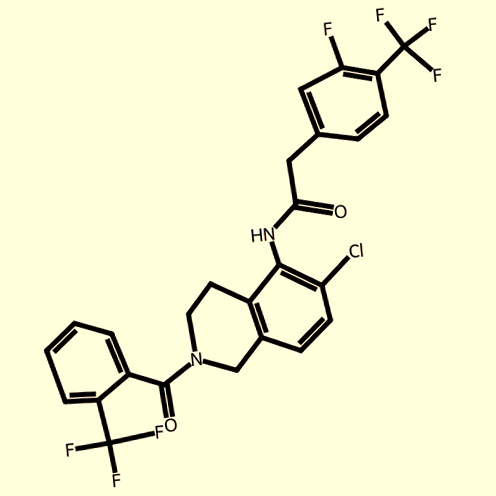 O=C(Cc1ccc(C(F)(F)F)c(F)c1)Nc1c(Cl)ccc2c1CCN(C(=O)c1ccccc1C(F)(F)F)C2